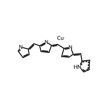 C1=CC(=CC2=NC(=CC3=NC(=Cc4ccc[nH]4)C=C3)C=C2)N=C1.[Cu]